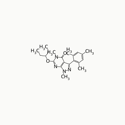 CCC(CC)Oc1nc2c(c(-c3c(C)cc(C)cc3C)nn2C)c(=O)n1C